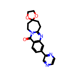 O=c1c2ccc(-c3cnccn3)cc2nc2n1CCC1(CC2)OCCO1